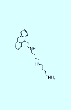 NCCCCNCCCCNCCc1c2ccccc2cc2ccccc12